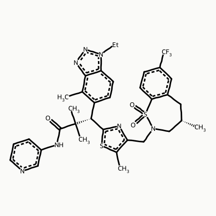 CCn1nnc2c(C)c([C@H](c3nc(CN4C[C@@H](C)Cc5cc(C(F)(F)F)ccc5S4(=O)=O)c(C)s3)C(C)(C)C(=O)Nc3cccnc3)ccc21